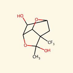 CC1(O)OC2C(O)C3CC1(C(F)(F)F)C2O3